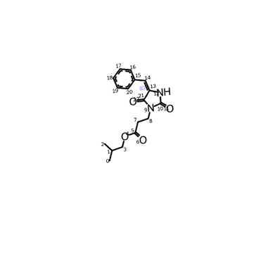 CC(C)COC(=O)CCN1C(=O)N/C(=C/c2ccccc2)C1=O